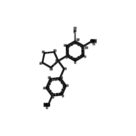 Oc1ccc(CC2(c3ccc(O)c(F)c3)CCCC2)cc1